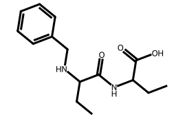 CCC(NC(=O)C(CC)NCc1ccccc1)C(=O)O